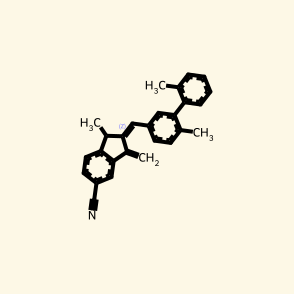 C=C1/C(=C\c2ccc(C)c(-c3ccccc3C)c2)C(C)c2ccc(C#N)cc21